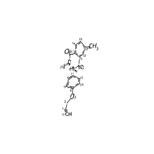 C#CCOc1ccc(NC(=O)c2cc(C)ccc2C(=O)OI)cc1